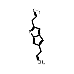 C=CCC1=CC2=CC(CC=C)=PC2=C1